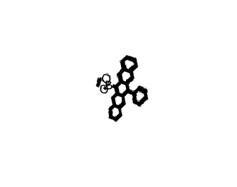 c1ccc(-c2c3cc4ccccc4cc3c(B3OCCO3)c3cc4ccccc4cc23)cc1